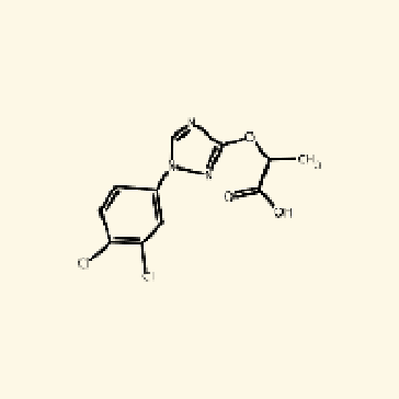 CC(Oc1ncn(-c2ccc(Cl)c(Cl)c2)n1)C(=O)O